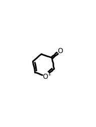 O=C1C=[O+]C=CC1